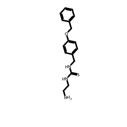 NCCNC(=S)NCc1ccc(OCc2ccccc2)cc1